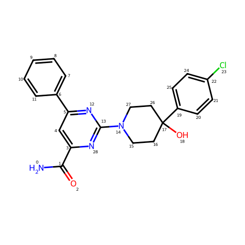 NC(=O)c1cc(-c2ccccc2)nc(N2CCC(O)(c3ccc(Cl)cc3)CC2)n1